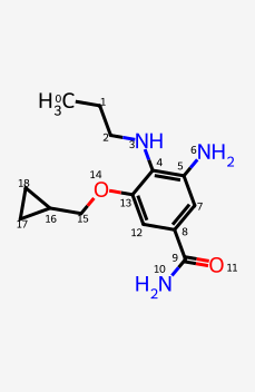 CCCNc1c(N)cc(C(N)=O)cc1OCC1CC1